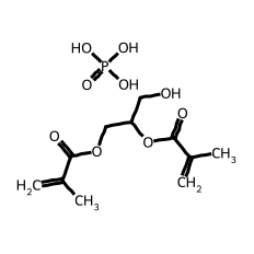 C=C(C)C(=O)OCC(CO)OC(=O)C(=C)C.O=P(O)(O)O